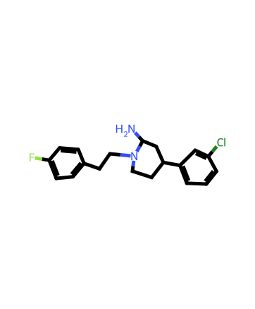 NC1CC(c2cccc(Cl)c2)CCN1CCc1ccc(F)cc1